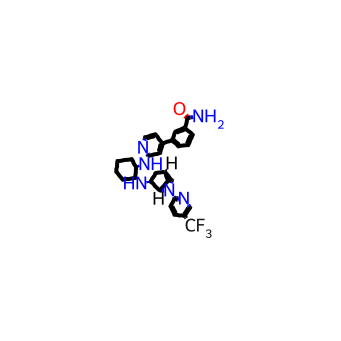 NC(=O)c1cccc(-c2ccnc(N[C@@H]3CCCC[C@H]3N[C@H]3C[C@@H]4C[C@H]3N(c3ccc(C(F)(F)F)cn3)C4)c2)c1